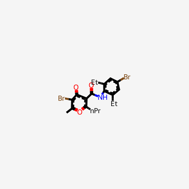 CCCc1oc(C)c(Br)c(=O)c1C(=O)Nc1c(CC)cc(Br)cc1CC